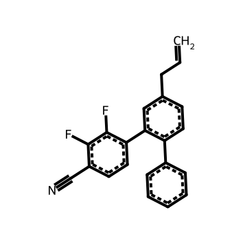 C=CCc1ccc(-c2ccccc2)c(-c2ccc(C#N)c(F)c2F)c1